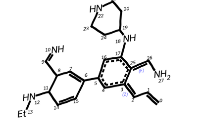 C=C/C=c1/cc(C2=CC(C=N)C(NCC)C=C2)cc(NC2CCNCC2)/c1=C/N